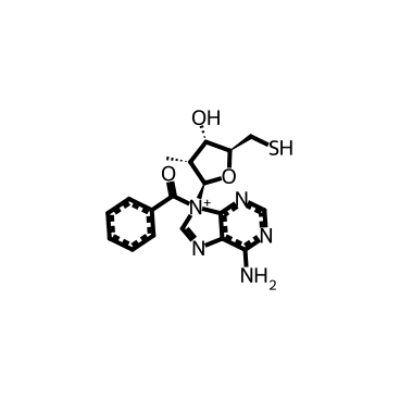 C[C@@H]1[C@H](O)[C@@H](CS)O[C@H]1[N+]1(C(=O)c2ccccc2)C=Nc2c(N)ncnc21